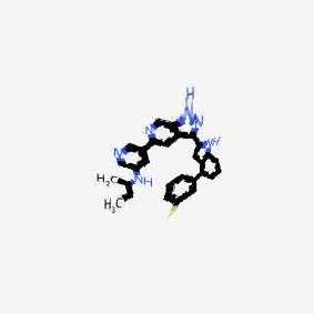 C=C(CC)Nc1cncc(-c2cc3c(-c4cc5c(-c6cccc(F)c6)cccc5[nH]4)n[nH]c3cn2)c1